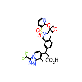 Cc1ccc(C(CC(=O)O)c2ccn3c(C(F)F)nnc3c2C)cc1CN1CC2(COC2)Oc2ncccc2S1(=O)=O